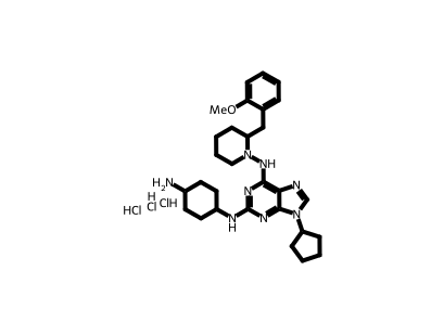 COc1ccccc1CC1CCCCN1Nc1nc(NC2CCC(N)CC2)nc2c1ncn2C1CCCC1.Cl.Cl.Cl